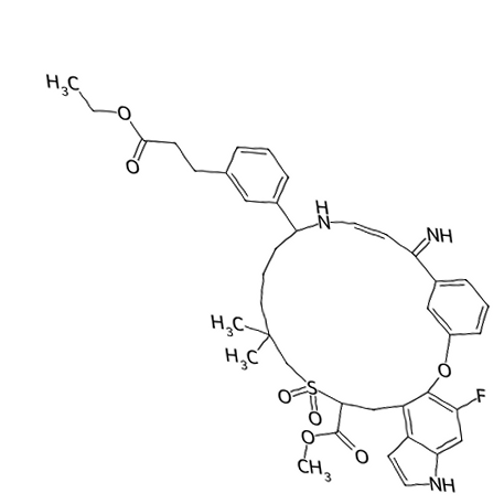 CCOC(=O)CCc1cccc(C2CCCC(C)(C)CS(=O)(=O)C(C(=O)OC)Cc3c(c(F)cc4[nH]ccc34)Oc3cccc(c3)C(=N)/C=C\N2)c1